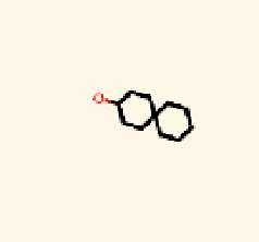 [O]C1CCC2(CCCCC2)CC1